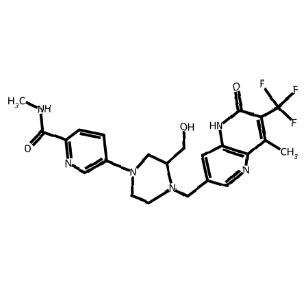 CNC(=O)c1ccc(N2CCN(Cc3cnc4c(C)c(C(F)(F)F)c(=O)[nH]c4c3)C(CO)C2)cn1